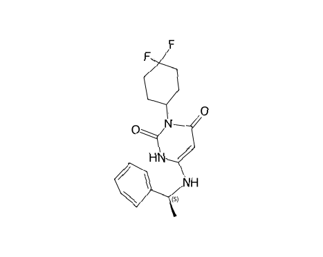 C[C@H](Nc1cc(=O)n(C2CCC(F)(F)CC2)c(=O)[nH]1)c1ccccc1